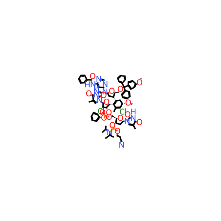 COc1ccc(C(OC[C@@H]2O[C@@H](n3cnc4c(NC(=O)c5ccccc5)ncnc43)C[C@H]2C2=C([C@H]3O[C@@H](n4cc(C)c(=O)[nH]c4=O)C[C@@H]3OP(=O)(OC[C@H]3OC(n4cc(C)c(=O)[nH]c4=O)CC3OP(OCCC#N)N(C(C)C)C(C)C)Oc3ccccc3Cl)C(C)=C(Cl)[CH]C2)(c2ccccc2)c2ccc(OC)cc2)cc1